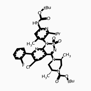 Cc1cc(NC(=O)OC(C)(C)C)nc(C(C)C)c1N1c2nc(-c3ccccc3F)c(Cl)cc2C(N2C[C@@H](C)N(C(=O)OC(C)(C)C)C[C@@H]2C)=NS1(=O)=O